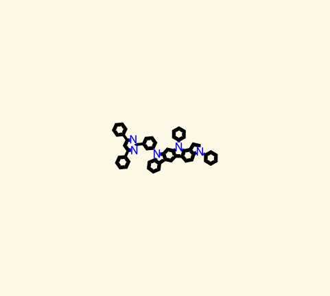 c1ccc(-c2cc(-c3ccccc3)nc(-c3cccc(-n4c5ccccc5c5cc6c7ccc8c(ccn8-c8ccccc8)c7n(-c7ccccc7)c6cc54)c3)n2)cc1